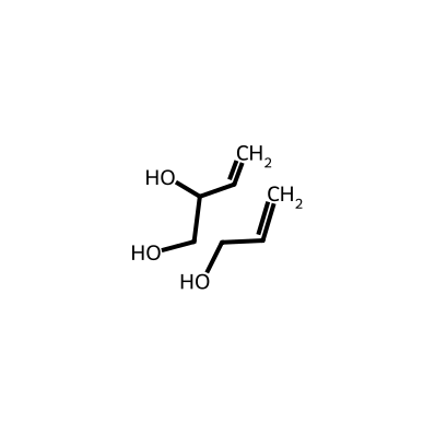 C=CC(O)CO.C=CCO